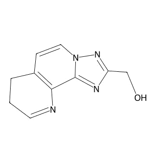 OCc1nc2c3c(ccn2n1)CCC=N3